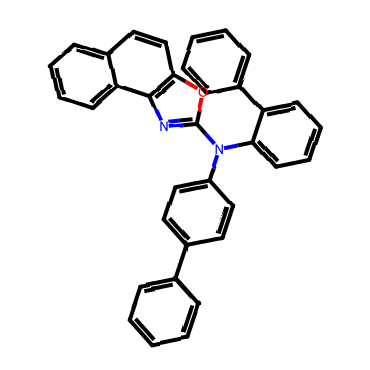 c1ccc(-c2ccc(N(c3nc4c(ccc5ccccc54)o3)c3ccccc3-c3ccccc3)cc2)cc1